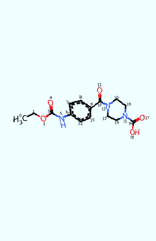 CCOC(=O)Nc1ccc(C(=O)N2CCN(C(=O)O)CC2)cc1